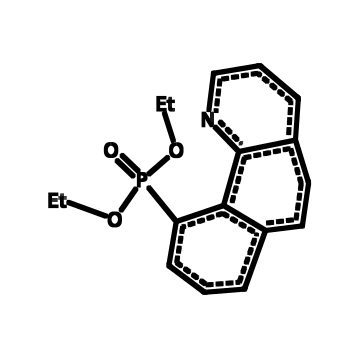 CCOP(=O)(OCC)c1cccc2ccc3cccnc3c12